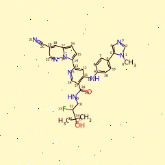 Cn1cncc1-c1ccc(Nc2cc(-c3ccc4cc(C#N)cnn34)ncc2C(=O)NCC(F)C(C)(C)O)cc1